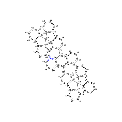 c1ccc2c(c1)-c1ccccc1C21c2ccccc2-c2ccc(-c3c4ccccc4c(-c4ccc5c(c4)C4(c6ccccc6-c6ccccc64)c4ccccc4-5)c4ncccc34)cc21